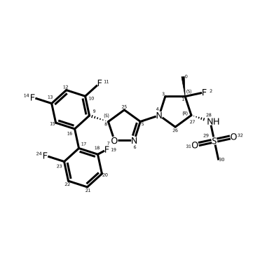 C[C@]1(F)CN(C2=NO[C@H](c3c(F)cc(F)cc3-c3c(F)cccc3F)C2)C[C@H]1NS(C)(=O)=O